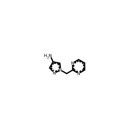 Nc1cnn(Cc2ncccn2)c1